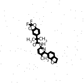 Cc1ccc(NC(=O)C(C)(C)c2ccc3c(c2)OC(F)(F)O3)nc1-c1ccc2c(c1)OCC2